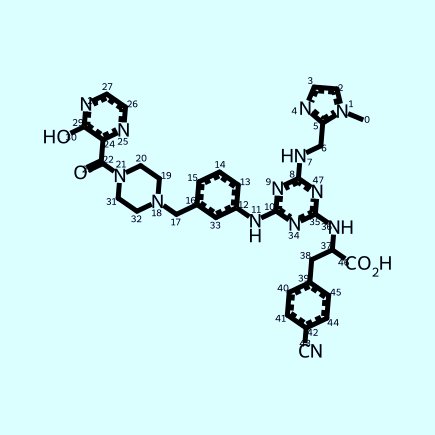 Cn1ccnc1CNc1nc(Nc2cccc(CN3CCN(C(=O)c4nccnc4O)CC3)c2)nc(NC(Cc2ccc(C#N)cc2)C(=O)O)n1